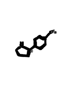 FC(F)(F)c1ccc([C@H]2CCCN2)cc1